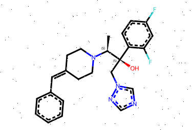 C[C@H](N1CCC(=Cc2ccccc2)CC1)[C@@](O)(Cn1cncn1)c1ccc(F)cc1F